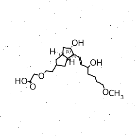 COCCCCC(O)C=C[C@H]1[C@@H]2CC(CCOCC(=O)O)C[C@H]2C[C@@H]1O